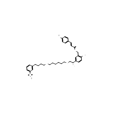 COc1ccc(C=CC(=O)OCc2cc([C@@H](O)CNCCCCCCOCCCCc3cccc(S(N)(=O)=O)c3)ccc2O)cc1